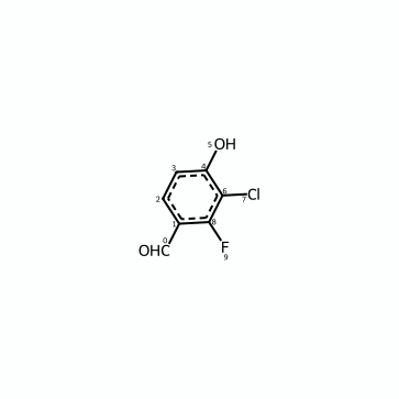 O=Cc1ccc(O)c(Cl)c1F